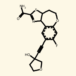 NC(=O)C1=NC2c3cc(C#CC4(O)CCOC4)c(F)cc3OCCC2S1